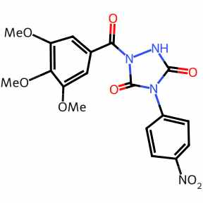 COc1cc(C(=O)n2[nH]c(=O)n(-c3ccc([N+](=O)[O-])cc3)c2=O)cc(OC)c1OC